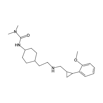 COc1ccccc1C1CC1CNCCC1CCC(NC(=O)N(C)C)CC1